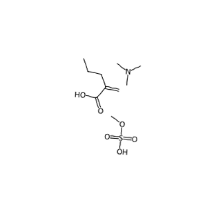 C=C(CCC)C(=O)O.CN(C)C.COS(=O)(=O)O